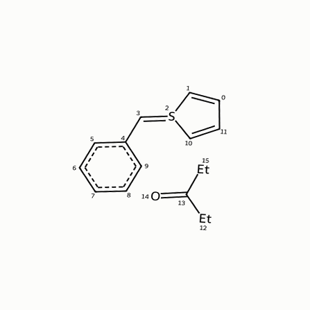 C1=CS(=Cc2ccccc2)C=C1.CCC(=O)CC